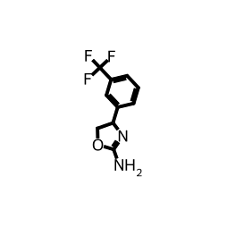 NC1=NC(c2cccc(C(F)(F)F)c2)CO1